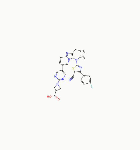 CCc1nc2ccc(-c3cnc(N4CC(C(=O)O)C4)nc3)cn2c1N(C)c1nc(-c2ccc(F)cc2)c(C#N)s1